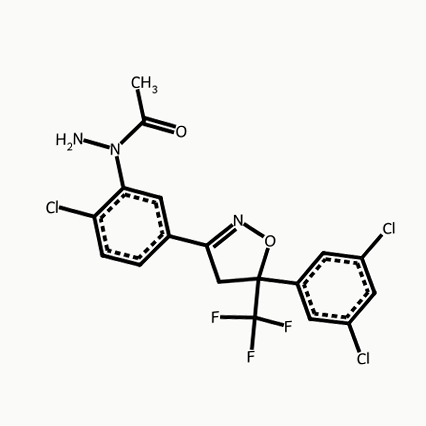 CC(=O)N(N)c1cc(C2=NOC(c3cc(Cl)cc(Cl)c3)(C(F)(F)F)C2)ccc1Cl